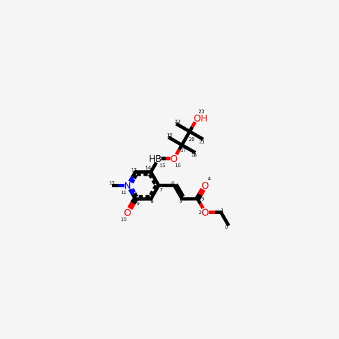 CCOC(=O)/C=C/c1cc(=O)n(C)cc1BOC(C)(C)C(C)(C)O